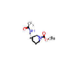 CC(C)(C)OC(=O)N1CCC[C@H](CNC(=O)C(F)(F)F)C1